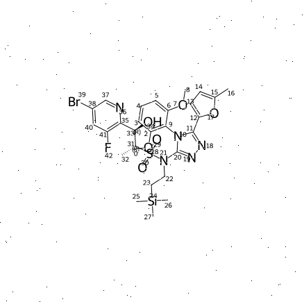 COc1cccc(OC)c1-n1c(-c2ccc(C)o2)nnc1N(CC[Si](C)(C)C)S(=O)(=O)[C@H](C)[C@H](O)c1ncc(Br)cc1F